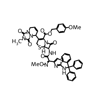 CO/N=C(\C(=O)N[C@@H]1C(=O)N2C(C(=O)OCc3ccc(OC)cc3)=C(C3C=CCn4c(=O)n(C)c(=O)n43)CS[C@@H]12)c1csc(NC(c2ccccc2)(c2ccccc2)c2ccccc2)n1